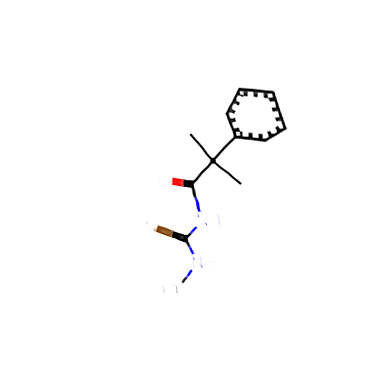 CC(C)NC(=S)NC(=O)C(C)(C)c1ccccc1